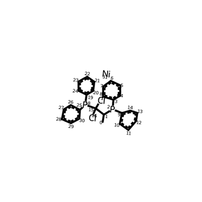 CC(P(c1ccccc1)c1ccccc1)C(Cl)(Cl)P(c1ccccc1)c1ccccc1.[Ni]